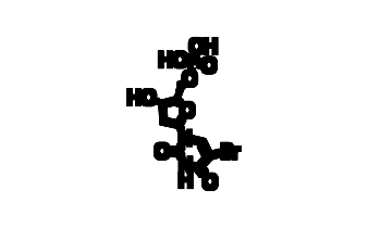 O=c1[nH]c(=O)n([C@H]2C[C@H](O)[C@@H](COP(=O)(O)O)O2)cc1Br